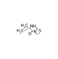 CC[C@H](C)C(N)C(=O)N1CCSC1